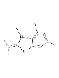 CC(C)=C1Sc2cc(C)cc(C)c2N1C